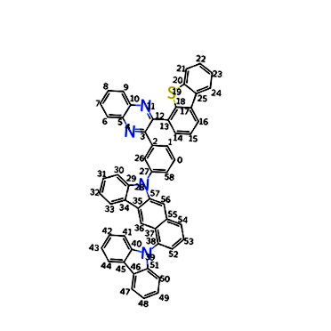 c1cc(-c2nc3ccccc3nc2-c2cccc3c2sc2ccccc23)cc(-n2c3ccccc3c3cc4c(-n5c6ccccc6c6ccccc65)cccc4cc32)c1